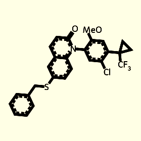 COc1cc(C2(C(F)(F)F)CC2)c(Cl)cc1-n1c(=O)ccc2cc(SCc3ccccc3)ccc21